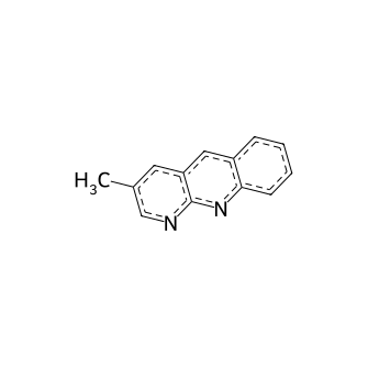 Cc1cnc2nc3ccccc3cc2c1